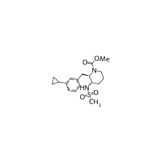 COC(=O)N1CCC[C@@H](NS(C)(=O)=O)[C@H]1Cc1cccc(C2CC2)c1